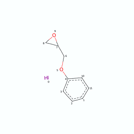 I.c1ccc(OCC2CO2)cc1